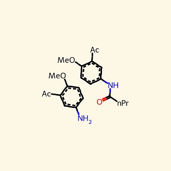 CCCC(=O)Nc1ccc(OC)c(C(C)=O)c1.COc1ccc(N)cc1C(C)=O